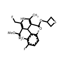 COC(=O)C1=C(CF)NC(C)=C(C(=O)OC2CSC2)C1c1c(F)ccc(F)c1C(F)(F)F